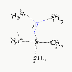 C[Si](C)([SiH3])N([SiH3])[SiH3]